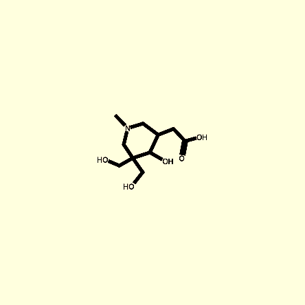 CN1CC(CC(=O)O)C(O)C(CO)(CO)C1